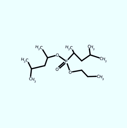 CCCOP(=O)(OC(C)CC(C)C)C(C)CC(C)C